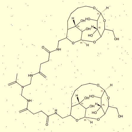 C=C(CCC(=O)NCC1O[C@@H]2OC3C(CO)O[C@H](OCCCCC1[C@H](O)C2O)C(O)[C@H]3O)NCN(CNC(=C)CCC(=O)NCC1O[C@@H]2OC3C(CO)O[C@H](OCCCCC1[C@H](O)C2O)C(O)[C@H]3O)C(=C)C